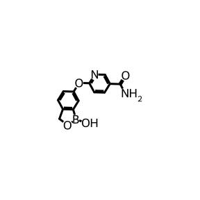 NC(=O)c1ccc(Oc2ccc3c(c2)B(O)OC3)nc1